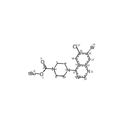 CC(C)(C)OC(=O)N1CCN(c2ncnc3cc(Br)c(Cl)cc23)CC1